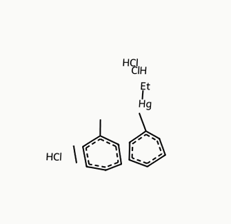 CC.C[CH2][Hg].Cc1ccccc1.Cc1ccccc1.Cl.Cl.Cl